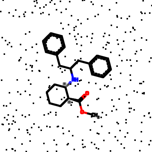 COC(=O)[C@H]1CCCC[C@@H]1NC(Cc1ccccc1)Cc1ccccc1